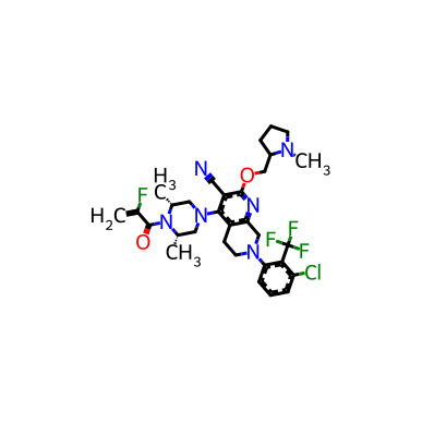 C=C(F)C(=O)N1[C@H](C)CN(c2c(C#N)c(OCC3CCCN3C)nc3c2CCN(c2cccc(Cl)c2C(F)(F)F)C3)C[C@@H]1C